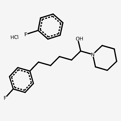 Cl.Fc1ccccc1.OC(CCCCc1ccc(F)cc1)N1CCCCC1